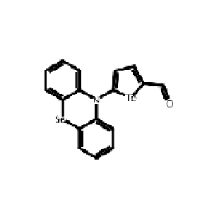 O=Cc1ccc(N2c3ccccc3[Se]c3ccccc32)[te]1